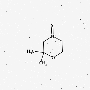 CC1(C)C[N+](=S)CCO1